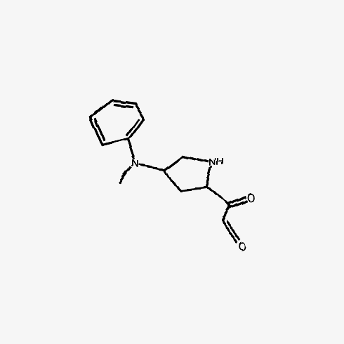 CN(c1ccccc1)C1CNC(C(=O)C=O)C1